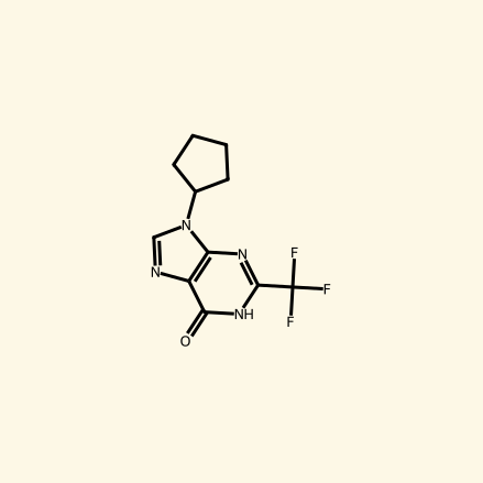 O=c1[nH]c(C(F)(F)F)nc2c1ncn2C1CCCC1